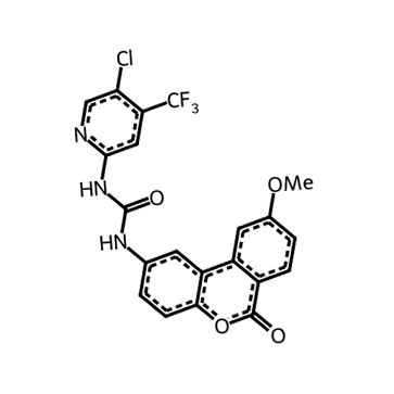 COc1ccc2c(=O)oc3ccc(NC(=O)Nc4cc(C(F)(F)F)c(Cl)cn4)cc3c2c1